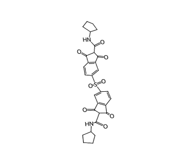 O=C(NC1CCCC1)C1C(=O)c2ccc(S(=O)(=O)c3ccc4c(c3)C(=O)C(C(=O)NC3CCCC3)C4=O)cc2C1=O